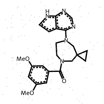 COc1cc(OC)cc(C(=O)N2CCN(c3ncnc4[nH]ccc34)CC3(CC3)C2)c1